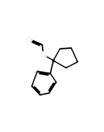 O=COC1(c2ccccc2)CCCC1